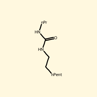 CCCCCCCNC(=O)NCCC